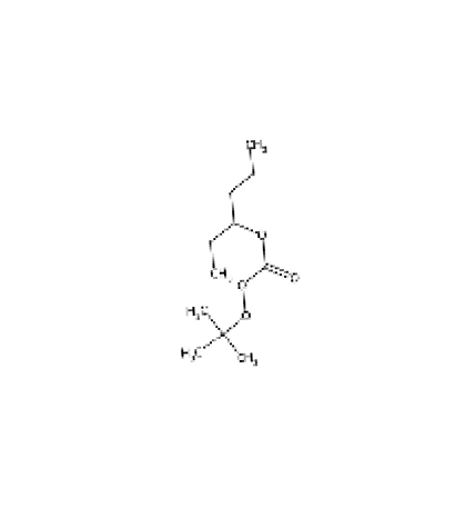 CCCC(CC)OC(=O)OOC(C)(C)C